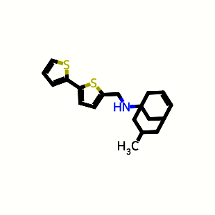 CC1CC2C=CCC(NCc3ccc(-c4cccs4)s3)(C1)C2